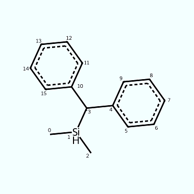 C[SiH](C)[C](c1ccccc1)c1ccccc1